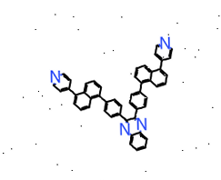 c1ccc2nc(-c3ccc(-c4cccc5c(-c6ccncc6)cccc45)cc3)c(-c3ccc(-c4cccc5c(-c6ccncc6)cccc45)cc3)nc2c1